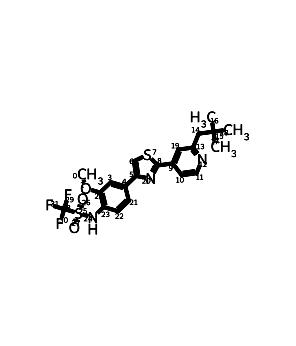 COc1cc(-c2csc(-c3ccnc(CC(C)(C)C)c3)n2)ccc1NS(=O)(=O)C(F)(F)F